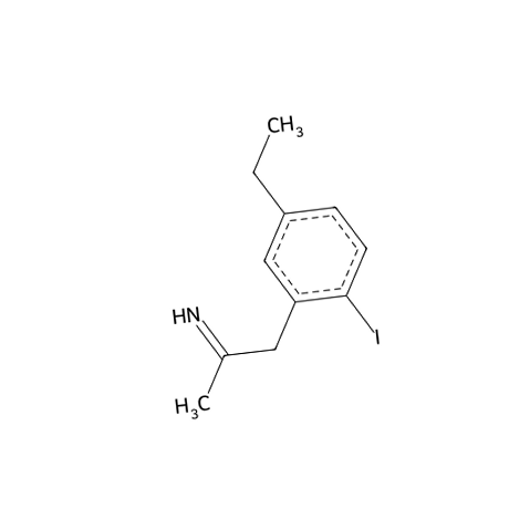 CCc1ccc(I)c(CC(C)=N)c1